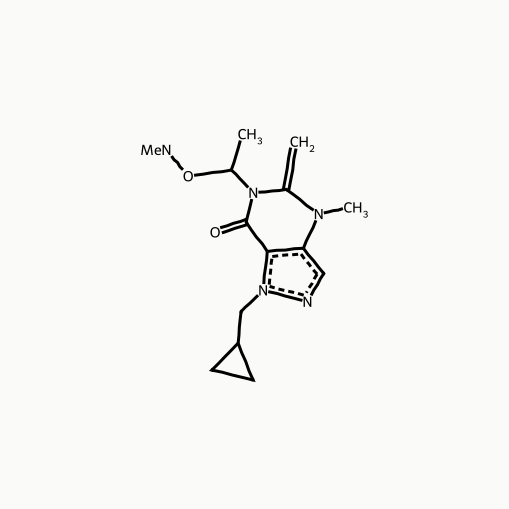 C=C1N(C)c2cnn(CC3CC3)c2C(=O)N1C(C)ONC